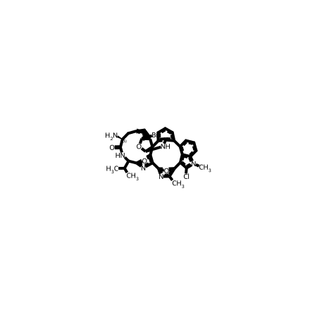 Cc1nc2oc1-c1c(Cl)n(C)c3cccc(c13)-c1cccc3c1NC1Oc4c(Br)cc5cc4C31c1oc(nc1-2)C(C(C)C)NC(=O)[C@@H](N)C5